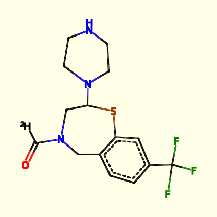 [2H]C(=O)N1Cc2ccc(C(F)(F)F)cc2SC(N2CCNCC2)C1